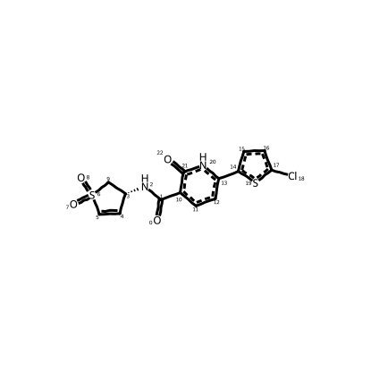 O=C(N[C@@H]1C=CS(=O)(=O)C1)c1ccc(-c2ccc(Cl)s2)[nH]c1=O